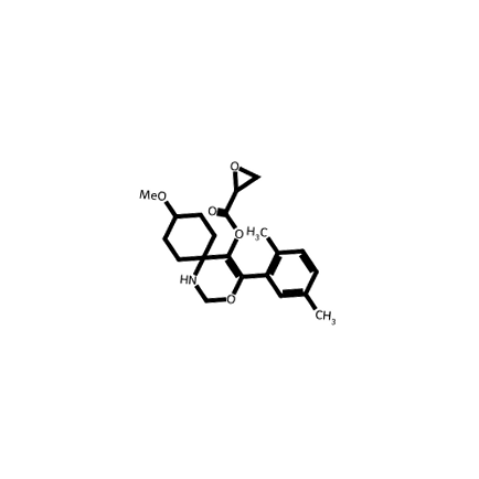 COC1CCC2(CC1)NCOC(c1cc(C)ccc1C)=C2OC(=O)C1CO1